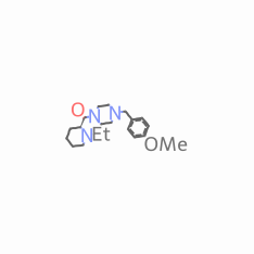 CCN1CCCC[C@H]1C(=O)N1CCN(Cc2ccc(OC)cc2)CC1